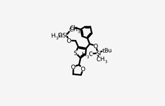 C[SiH](C)OCc1sc(C2OCCO2)cc1C(O[Si](C)(C)C(C)(C)C)c1cccc(Cl)c1